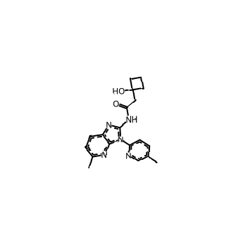 Cc1ccc(-n2c(NC(=O)CC3(O)CCC3)nc3ccc(C)nc32)nc1